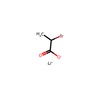 CC(Br)C(=O)[O-].[Li+]